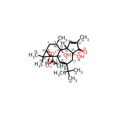 CC(=O)O[C@@]12C[C@@H](C)[C@@]3(O)[C@@H](C=C(C(C)(C)C)C[C@]4(O)C(=O)C(C)=C[C@@H]34)[C@@H]1C2(C)C